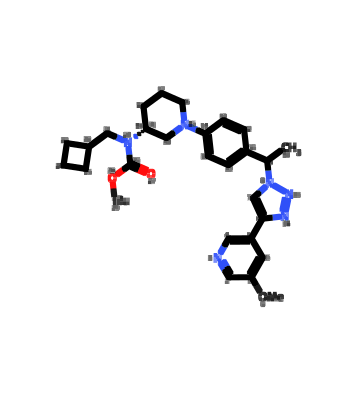 COc1cncc(-c2cn(C(C)c3ccc(N4CCC[C@@H](N(CC5CCC5)C(=O)OC(C)(C)C)C4)cc3)nn2)c1